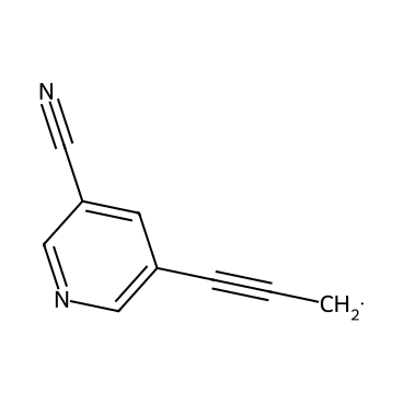 [CH2]C#Cc1cncc(C#N)c1